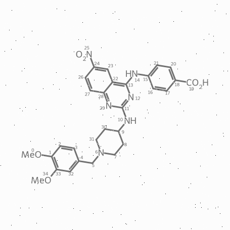 COc1ccc(CN2CCC(Nc3nc(Nc4ccc(C(=O)O)cc4)c4cc([N+](=O)[O-])ccc4n3)CC2)cc1OC